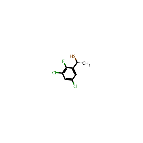 C[C@@H](S)c1cc(Cl)cc(Cl)c1F